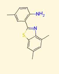 Cc1ccc(N)c(-c2nc3c(C)cc(C)cc3s2)c1